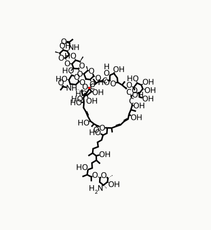 CC(=O)N[C@@H]1C[C@H](O[C@@H]2[C@H](O)[C@H](O[C@@H]3[C@H](O[C@H]4C[C@@H](NC(C)=O)[C@H](O)[C@H](C)O4)[C@H](O[C@@H]4O[C@@H](C)[C@@H](O)[C@H](O)C4O)[C@@H](OC4CC5(O)OC(CC(O)C5O)C(C)C(O[C@@H]5OC(CO)[C@@H](O)[C@H](O)[C@H]5O)CC(O)CC(O)C(C)C(O)/C=C\C=C/C(C)C(CC(O)CCCCC(C)C(O)C(C)CCC(O)C(C)C(C)O[C@H]5C[C@](C)(N)[C@H](O)[C@@H](C)O5)OC(=O)C(C)C(O)/C=C/CC(O)CC(O)CCC4C)O[C@@H]3C)O[C@H](C)[C@H]2O)O[C@@H](C)[C@H]1O